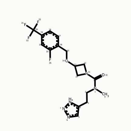 CN(CCc1cnn[nH]1)C(=O)N1CC(OCc2ccc(C(F)(F)F)cc2F)C1